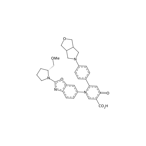 COC[C@H]1CCCN1c1nc2ccc(-n3cc(C(=O)O)c(=O)cc3-c3ccc(N4CC5COCC5C4)cc3)cc2o1